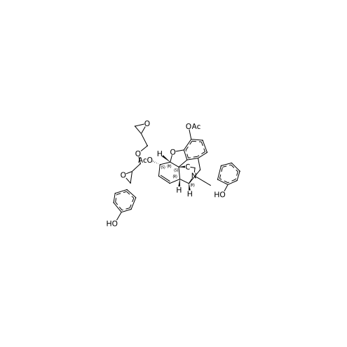 C(OCC1CO1)C1CO1.CC(=O)Oc1ccc2c3c1O[C@H]1[C@@H](OC(C)=O)C=C[C@H]4[C@@H](C2)N(C)CC[C@@]341.Oc1ccccc1.Oc1ccccc1